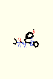 CCC(CC)NC(=O)NC(Cc1ccc(OC)cc1)c1nc2ccccc2[nH]1